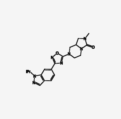 CC(C)n1ncc2ccc(-c3noc(N4CCN5C(=O)N(C)CC5C4)n3)cc21